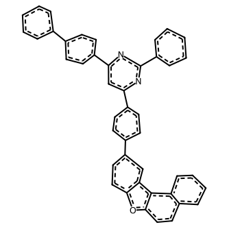 c1ccc(-c2ccc(-c3cc(-c4ccc(-c5ccc6oc7ccc8ccccc8c7c6c5)cc4)nc(-c4ccccc4)n3)cc2)cc1